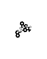 O=C1OC2(CCN(C(=O)C3(c4ccc(OCc5nccc6ccccc56)cc4)CC3)C2)c2ccccc21